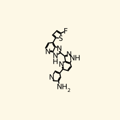 Nc1cncc(-c2ccc3[nH]nc(-c4nc5c(-c6ccc(F)s6)ccnc5[nH]4)c3n2)c1